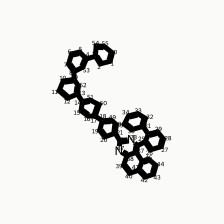 c1ccc(-c2cccc(-c3cccc(-c4ccc(-c5ccc(-c6nc(-c7ccccc7-c7ccccc7)c7c(ccc8ccccc87)n6)cc5)cc4)c3)c2)cc1